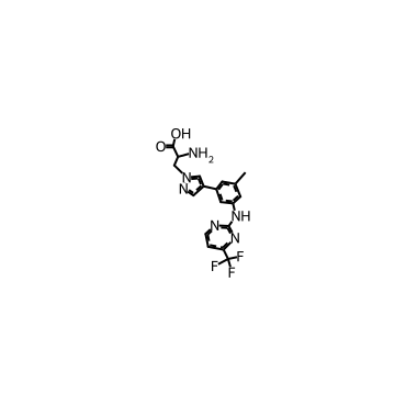 Cc1cc(Nc2nccc(C(F)(F)F)n2)cc(-c2cnn(CC(N)C(=O)O)c2)c1